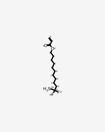 C=CC(=O)OCCCCCCCCCCC(F)(F)[SiH3]